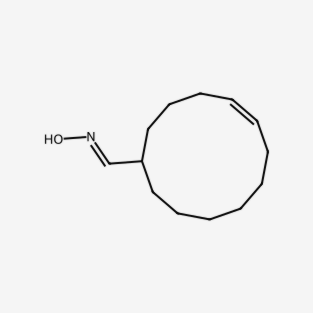 ON=CC1CCCC=CCCCCCC1